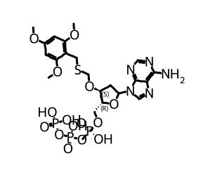 COc1cc(OC)c(CSCO[C@H]2CC(n3cnc4c(N)ncnc43)O[C@@H]2COP(=O)(O)OP(=O)(O)OP(=O)(O)O)c(OC)c1